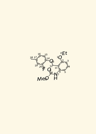 CCOc1cccc(NC(=O)OC)c1COc1ccc(C)cc1F